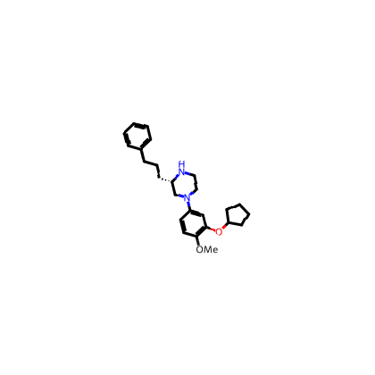 COc1ccc(N2CCN[C@@H](CCCc3ccccc3)C2)cc1OC1CCCC1